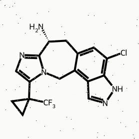 N[C@@H]1Cc2cc(Cl)c3[nH]ncc3c2Cn2c(C3(C(F)(F)F)CC3)cnc21